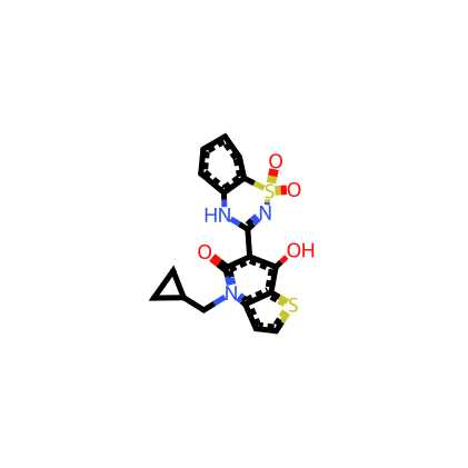 O=c1c(C2=NS(=O)(=O)c3ccccc3N2)c(O)c2sccc2n1CC1CC1